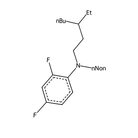 CCCCCCCCCN(CCC(CC)CCCC)c1ccc(F)cc1F